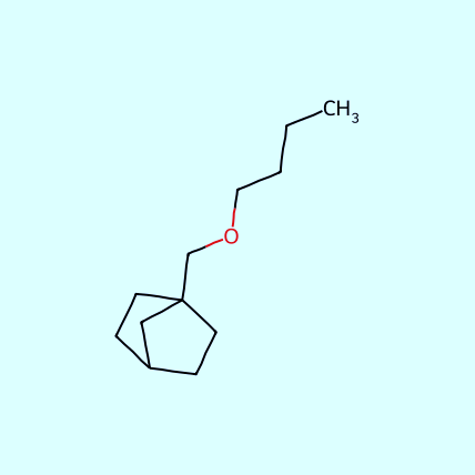 CCCCOCC12CCC(CC1)C2